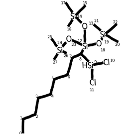 CCCCCCCCC([SiH](Cl)Cl)[Si](O[Si](C)(C)C)(O[Si](C)(C)C)O[Si](C)(C)C